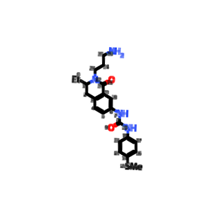 CCC1Cc2ccc(NC(=O)Nc3ccc(SC)cc3)cc2C(=O)N1CCCN